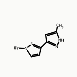 Cc1cc(-c2ccn(C(C)C)n2)n[nH]1